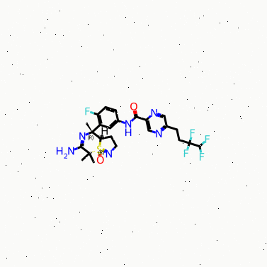 CC1(C)C(N)=N[C@](C)(c2cc(NC(=O)c3cnc(CCC(F)(F)C(F)F)cn3)ccc2F)[C@@H]2CCN=[S@@]21=O